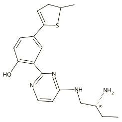 CC[C@@H](N)CNc1ccnc(-c2cc(C3=CCC(C)S3)ccc2O)n1